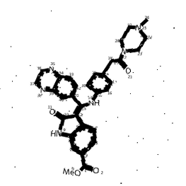 COC(=O)c1ccc2c(c1)NC(=O)C2=C(Nc1ccc(CC(=O)N2CCN(C)CC2)cc1)c1ccc2nccnc2c1